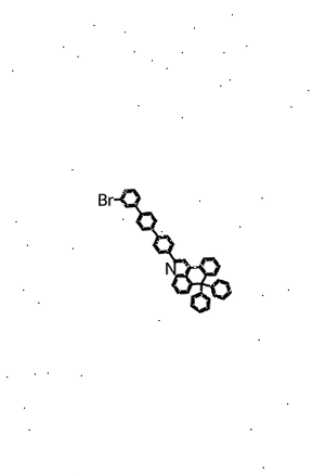 Brc1cccc(-c2ccc(-c3ccc(-c4cc5c6c(cccc6n4)C(c4ccccc4)(c4ccccc4)c4ccccc4-5)cc3)cc2)c1